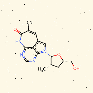 C[C@H]1C[C@@H](CO)O[C@H]1n1cc2c3c(ncnc31)NC(=O)C(C#N)=C2